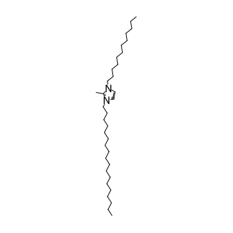 CCCCCCCCCCCCCCCCCC[n+]1ccn(CCCCCCCCCCCC)c1C